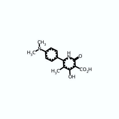 Cc1c(-c2ccc(N(C)C)cc2)[nH]c(=O)c(C(=O)O)c1O